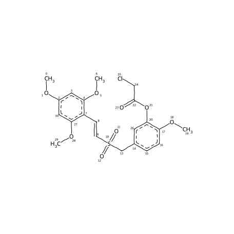 COc1cc(OC)c(/C=C/S(=O)(=O)Cc2ccc(OC)c(OC(=O)CCl)c2)c(OC)c1